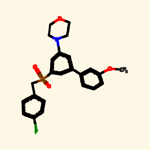 O=S(=O)(Cc1ccc(F)cc1)c1cc(-c2cccc(OC(F)(F)F)c2)cc(N2CCOCC2)c1